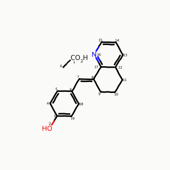 CC(=O)O.Oc1ccc(C=C2CCCc3cccnc32)cc1